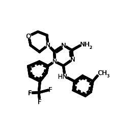 Cc1cccc(NC2N=C(N)N=C(N3CCOCC3)N2c2cccc(C(F)(F)F)c2)c1